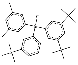 Cc1cc(C)cc([Si](Cl)(c2cc(C(C)(C)C)cc(C(C)(C)C)c2)c2cccc([Si](C)(C)C)c2)c1